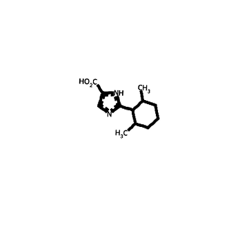 CC1CCCC(C)C1c1ncc(C(=O)O)[nH]1